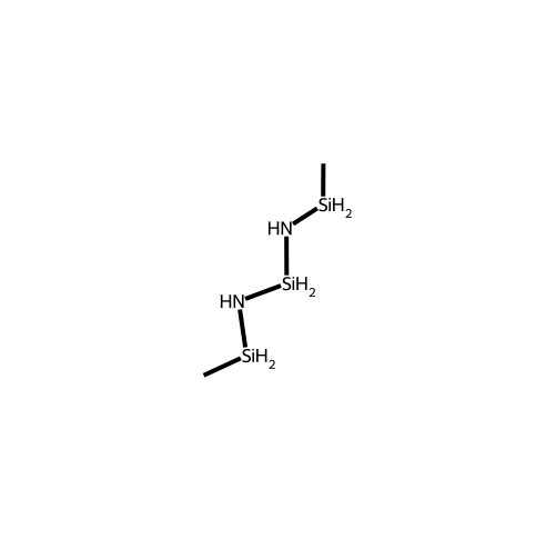 C[SiH2]N[SiH2]N[SiH2]C